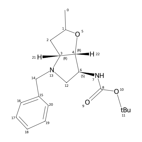 CC1C[C@@H]2[C@H](O1)[C@@H](NC(=O)OC(C)(C)C)CN2Cc1ccccc1